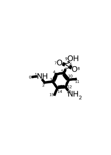 CNCc1cc(S(=O)(=O)O)c(C)c(N)c1C